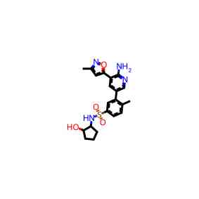 Cc1cc(-c2cc(-c3cc(S(=O)(=O)NC4CCCC4O)ccc3C)cnc2N)on1